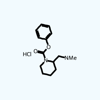 CNCC1CCCCN1C(=O)Oc1ccccc1.Cl